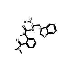 C[C@@H](C(=O)N[C@H](BO)C[C@@H]1COc2ccccc21)c1ccccc1C(=O)N(C)C